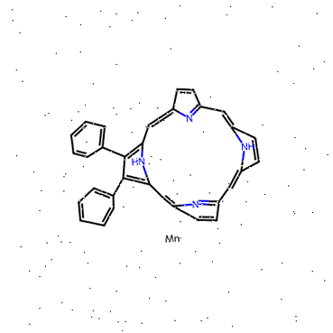 C1=Cc2cc3[nH]c(cc4nc(cc5ccc(cc1n2)[nH]5)C=C4)c(-c1ccccc1)c3-c1ccccc1.[Mn]